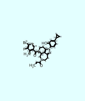 C=CC(=O)N1CCc2nn(-c3ccc(C4CC4)cc3O)c3c2[C@@H](C1)N(C(=O)c1cnc(Br)c(F)c1N)CC3